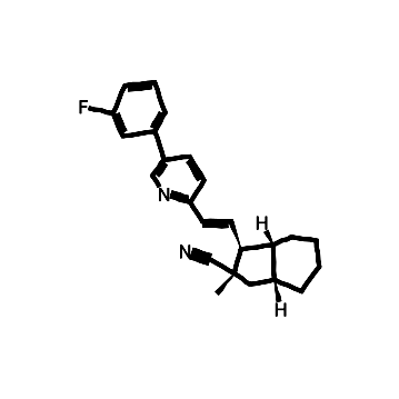 C[C@]1(C#N)C[C@H]2CCCC[C@H]2[C@@H]1C=Cc1ccc(-c2cccc(F)c2)cn1